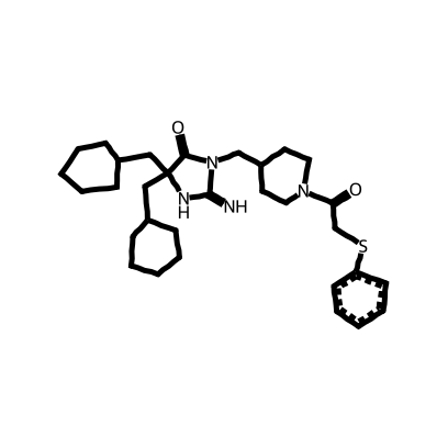 N=C1NC(CC2CCCCC2)(CC2CCCCC2)C(=O)N1CC1CCN(C(=O)CSc2ccccc2)CC1